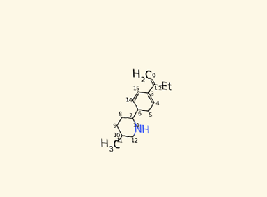 C=C(CC)C1=CCC(C2CCC(C)CN2)C=C1